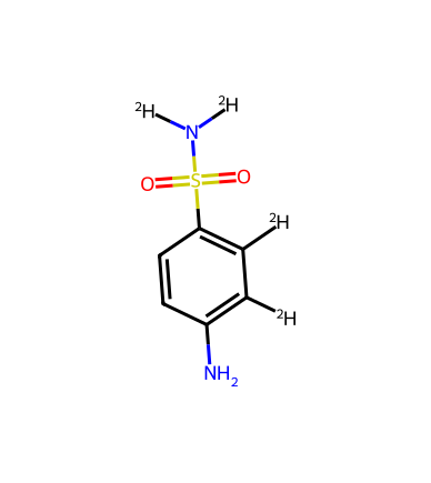 [2H]c1c(N)ccc(S(=O)(=O)N([2H])[2H])c1[2H]